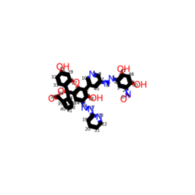 O=Nc1cc(/N=N/c2cncc(-c3c(O)c(/N=N/c4ccccn4)cc4c3Oc3cc(O)ccc3C43OC(=O)c4ccccc43)c2)c(O)cc1O